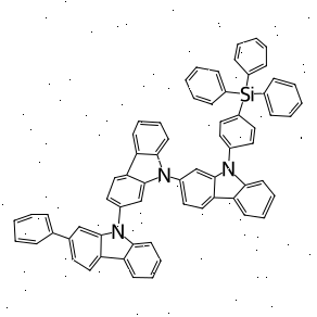 c1ccc(-c2ccc3c4ccccc4n(-c4ccc5c6ccccc6n(-c6ccc7c8ccccc8n(-c8ccc([Si](c9ccccc9)(c9ccccc9)c9ccccc9)cc8)c7c6)c5c4)c3c2)cc1